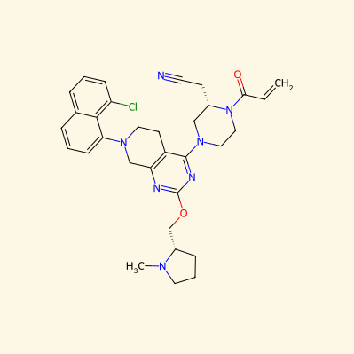 C=CC(=O)N1CCN(c2nc(OC[C@@H]3CCCN3C)nc3c2CCN(c2cccc4cccc(Cl)c24)C3)C[C@@H]1CC#N